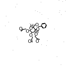 c1ccc(C2OC[C@H]3O[C@H](OCC4CO4)[C@H](OCC4CO4)[C@@H](OCC4CO4)[C@@H]3O2)cc1